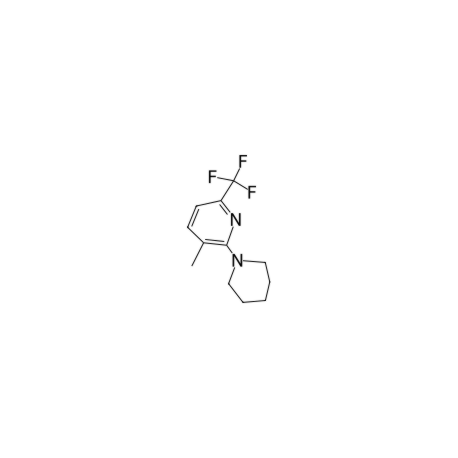 Cc1ccc(C(F)(F)F)nc1N1CCCCC1